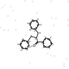 O=C(c1ccccc1)C(Cc1ccccc1)Cc1ccccc1